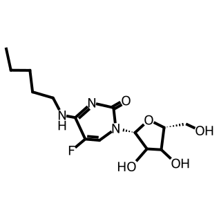 CCCCCNc1nc(=O)n([C@@H]2O[C@H](CO)C(O)C2O)cc1F